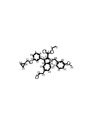 CCOC(=O)c1c(-c2cccc(OCC3CC3)c2)c2cc(CC=O)ccc2n1Cc1cccc(OC)c1